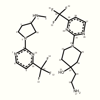 CNC1CCN(c2nccc(C(F)(F)F)n2)C1.NCCC1(O)CCN(c2nccc(C(F)(F)F)n2)CC1